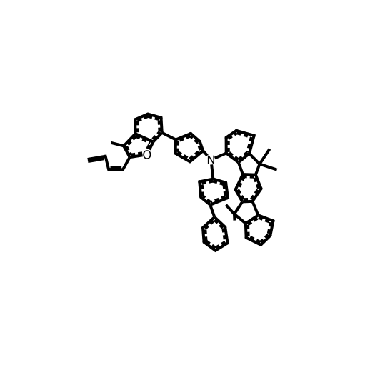 C=C/C=C\c1oc2c(-c3ccc(N(c4ccc(-c5ccccc5)cc4)c4cccc5c4-c4cc6c(cc4C5(C)C)-c4ccccc4C6(C)C)cc3)cccc2c1C